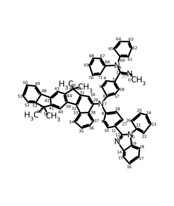 C/N=C(\c1ccc(N(c2ccc(-c3nc4ccccc4n3-c3ccccc3)cc2)c2cc3c(c4ccccc24)-c2cc4c(cc2C3(C)C)-c2ccccc2C4(C)C)cc1)N(c1ccccc1)c1ccccc1